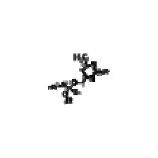 CCCS[P@@](=S)(OCC)OCc1cc(C)nc(C(C)C)n1